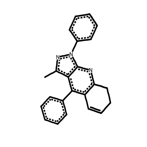 Cc1nn(-c2ccccc2)c2nc3c(c(-c4ccccc4)c12)C=CCC3